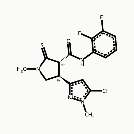 CN1C[C@H](c2cc(Cl)n(C)n2)[C@@H](C(=O)Nc2cccc(F)c2F)C1=S